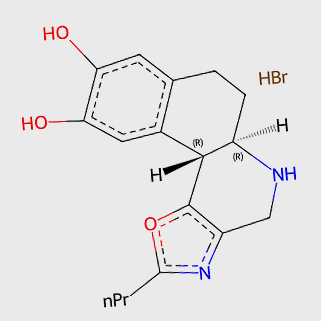 Br.CCCc1nc2c(o1)[C@@H]1c3cc(O)c(O)cc3CC[C@H]1NC2